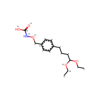 CCOC(CCCc1ccc(CONC(=O)O)cc1)OCC